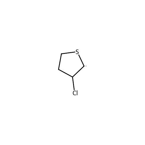 ClC1[CH]SCC1